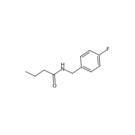 CCCC(=O)NCc1ccc(F)cc1